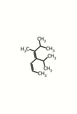 C/C=C\C(=C(/C)C(C)C)C(C)C